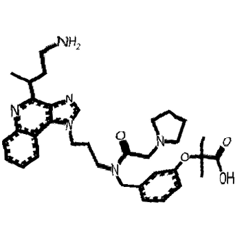 CC(CCN)c1nc2ccccc2c2c1ncn2CCCN(Cc1cccc(OC(C)(C)C(=O)O)c1)C(=O)CN1CCCC1